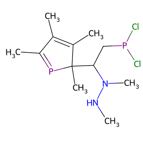 CNN(C)C(CP(Cl)Cl)C1(C)P=C(C)C(C)=C1C